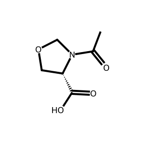 CC(=O)N1COC[C@H]1C(=O)O